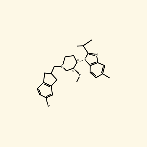 CO[C@H]1CN(CC2Cc3ccc(Br)cc3C2)CC[C@@H]1n1c(C(C)C)nc2cc(C)ccc21